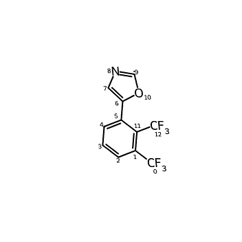 FC(F)(F)c1cccc(-c2cn[c]o2)c1C(F)(F)F